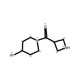 CC(C)C1CCN(C(=O)C2CNC2)CC1